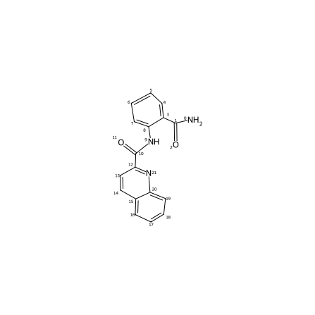 NC(=O)c1ccccc1NC(=O)c1ccc2ccccc2n1